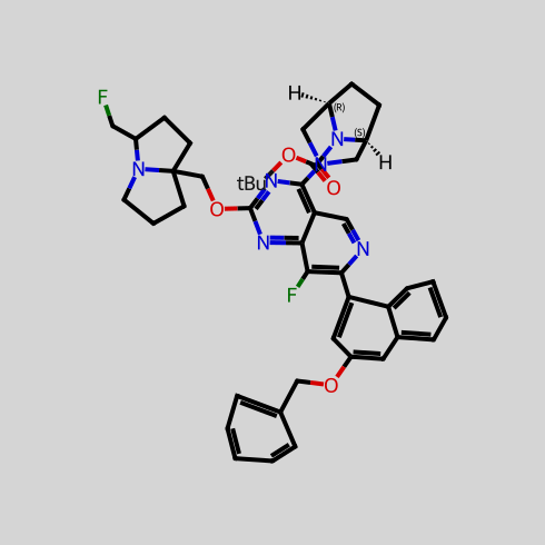 CC(C)(C)OC(=O)N1[C@@H]2CC[C@H]1CN(c1nc(OCC34CCCN3C(CF)CC4)nc3c(F)c(-c4cc(OCc5ccccc5)cc5ccccc45)ncc13)C2